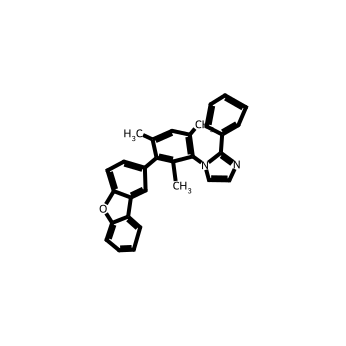 Cc1cc(C)c(-n2ccnc2-c2ccccc2)c(C)c1-c1ccc2oc3ccccc3c2c1